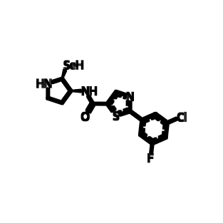 O=C(N[C@H]1CCN[C@H]1[SeH])c1cnc(-c2cc(F)cc(Cl)c2)s1